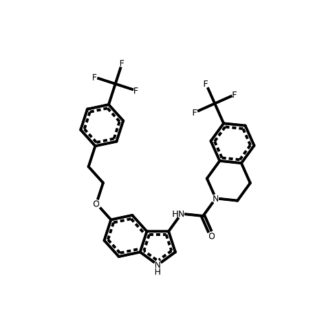 O=C(Nc1c[nH]c2ccc(OCCc3ccc(C(F)(F)F)cc3)cc12)N1CCc2ccc(C(F)(F)F)cc2C1